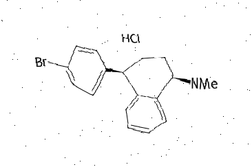 CN[C@@H]1CC[C@H](c2ccc(Br)cc2)c2ccccc21.Cl